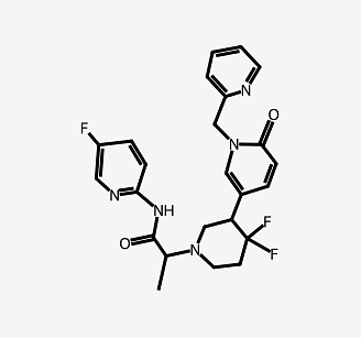 CC(C(=O)Nc1ccc(F)cn1)N1CCC(F)(F)C(c2ccc(=O)n(Cc3ccccn3)c2)C1